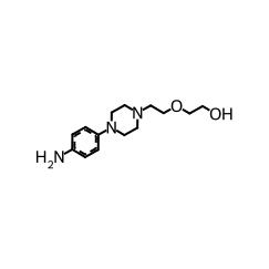 Nc1ccc(N2CCN(CCOCCO)CC2)cc1